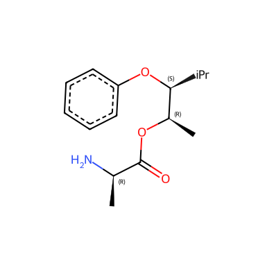 CC(C)[C@H](Oc1ccccc1)[C@@H](C)OC(=O)[C@@H](C)N